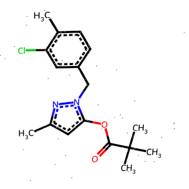 Cc1cc(OC(=O)C(C)(C)C)n(Cc2ccc(C)c(Cl)c2)n1